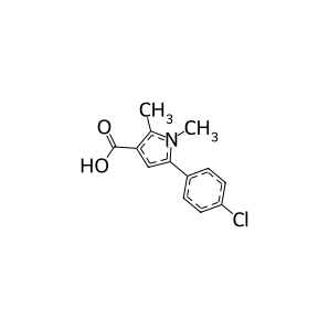 Cc1c(C(=O)O)cc(-c2ccc(Cl)cc2)n1C